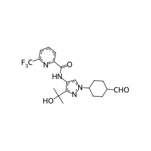 CC(C)(O)c1nn(C2CCC(C=O)CC2)cc1NC(=O)c1cccc(C(F)(F)F)n1